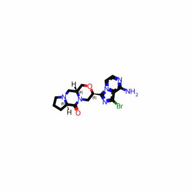 Nc1nccn2c([C@H]3CN4C(=O)[C@H]5CCCN5C[C@@H]4CO3)nc(Br)c12